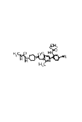 CNC(=O)NC1CCN(C(=O)Cn2c(C)nc(-c3ccc(C#N)cc3NC(=O)OC)cc2=O)CC1